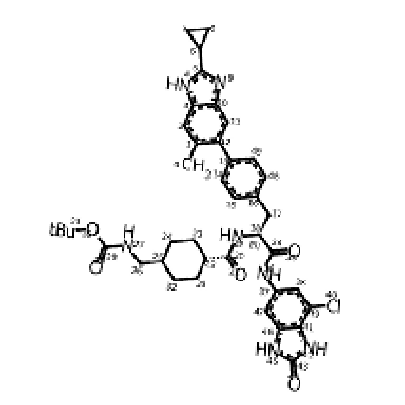 Cc1cc2[nH]c(C3CC3)nc2cc1-c1ccc(C[C@H](NC(=O)[C@H]2CC[C@H](CNC(=O)OC(C)(C)C)CC2)C(=O)Nc2cc(Cl)c3[nH]c(=O)[nH]c3c2)cc1